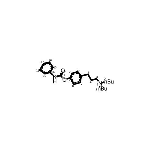 CCCCN(CCCC)CCCc1ccc(OC(=O)Nc2ccccc2)cc1